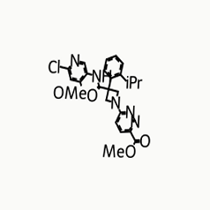 COC(=O)c1ccc(N2CC(C(=O)Nc3cnc(Cl)cc3OC)(c3ccccc3C(C)C)C2)nn1